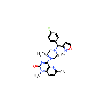 CC[C@@H]1CN(c2nc(=O)n(C)c3ccc(C#N)nc23)[C@@H](C)CN1C(c1ccc(F)cc1)c1ccon1